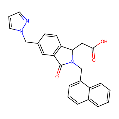 O=C(O)CC1c2ccc(Cn3cccn3)cc2C(=O)N1Cc1cccc2ccccc12